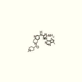 Cc1csc2c(-n3nc(Nc4cnc5c(c4)CN(C(=O)C4CCN(C)CC4)CC5)nc3N)ncnc12